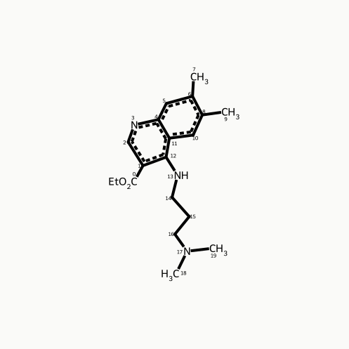 CCOC(=O)c1cnc2cc(C)c(C)cc2c1NCCCN(C)C